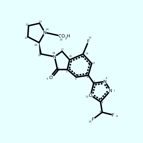 O=C1c2cc(-c3nnc(C(F)F)o3)cc(F)c2CN1C[C@H]1CCCN1C(=O)O